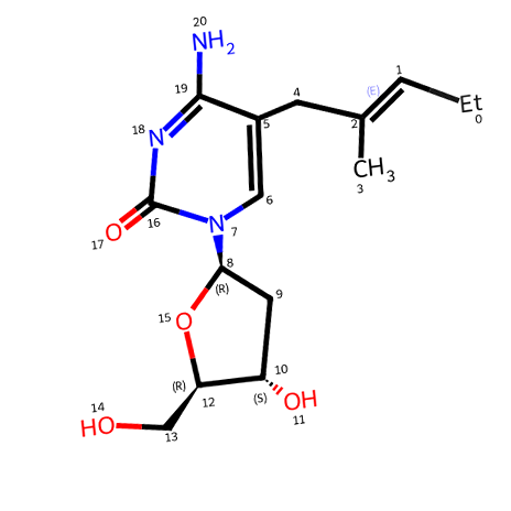 CC/C=C(\C)Cc1cn([C@H]2C[C@H](O)[C@@H](CO)O2)c(=O)nc1N